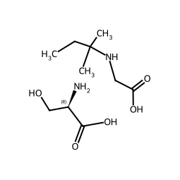 CCC(C)(C)NCC(=O)O.N[C@H](CO)C(=O)O